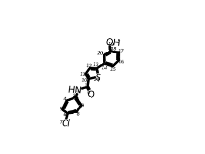 O=C(Nc1ccc(Cl)cc1)c1ccc(-c2cccc(O)c2)s1